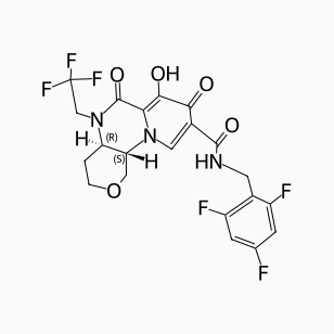 O=C(NCc1c(F)cc(F)cc1F)c1cn2c(c(O)c1=O)C(=O)N(CC(F)(F)F)[C@@H]1CCOC[C@H]12